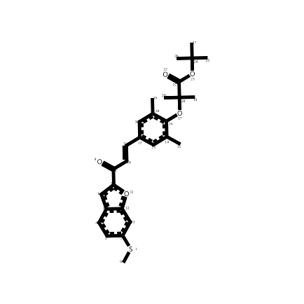 CSc1ccc2cc(C(=O)/C=C/c3cc(C)c(OC(C)(C)C(=O)OC(C)(C)C)c(C)c3)oc2c1